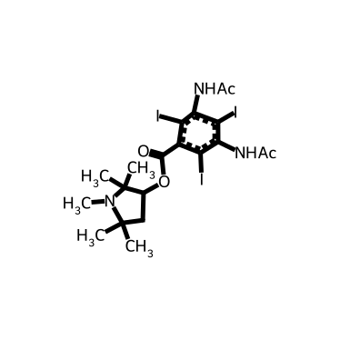 CC(=O)Nc1c(I)c(NC(C)=O)c(I)c(C(=O)OC2CC(C)(C)N(C)C2(C)C)c1I